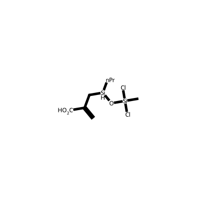 C=C(C[SiH](CCC)O[Si](C)(Cl)Cl)C(=O)O